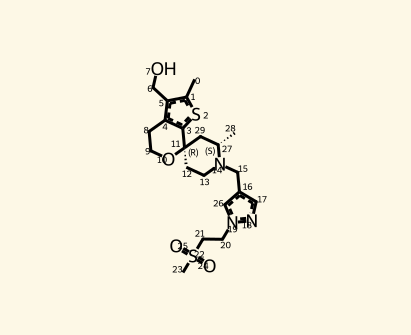 Cc1sc2c(c1CO)CCO[C@@]21CCN(Cc2cnn(CCS(C)(=O)=O)c2)[C@@H](C)C1